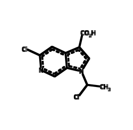 CC(Cl)n1cc(C(=O)O)c2cc(Cl)ncc21